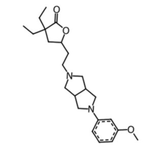 CCC1(CC)CC(CCN2CC3CN(c4cccc(OC)c4)CC3C2)OC1=O